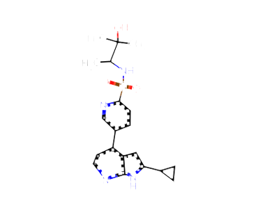 CC(NS(=O)(=O)c1ccc(-c2ccnc3[nH]c(C4CC4)cc23)cn1)C(C)(C)O